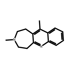 Cc1c2c(nc3ccccc13)CCN(C)CC2